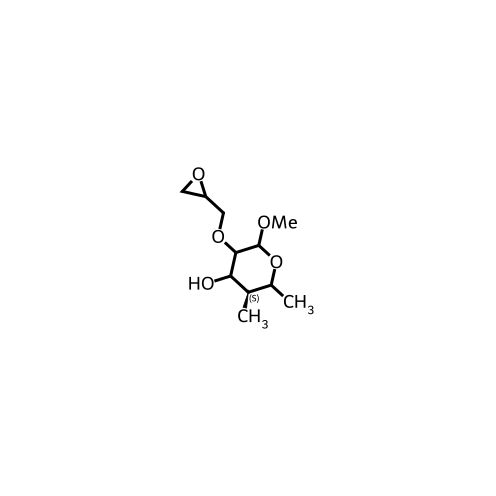 COC1OC(C)[C@@H](C)C(O)C1OCC1CO1